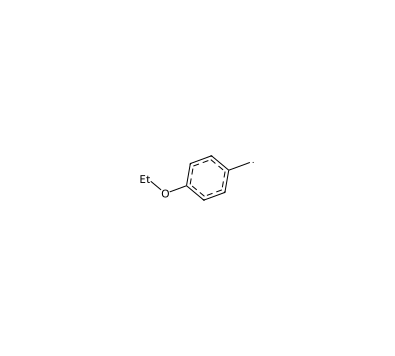 [CH2]c1ccc(OCC)cc1